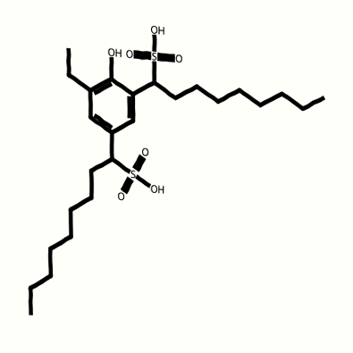 CCCCCCCCC(c1cc(CC)c(O)c(C(CCCCCCCC)S(=O)(=O)O)c1)S(=O)(=O)O